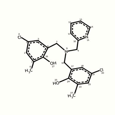 Cc1cc(Cl)cc(CN(Cc2ccccn2)Cc2cc(Cl)cc(C)c2O)c1O